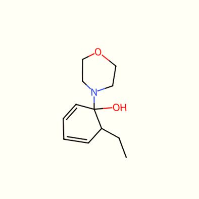 CCC1C=CC=CC1(O)N1CCOCC1